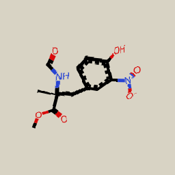 COC(=O)[C@@](C)(Cc1ccc(O)c([N+](=O)[O-])c1)NC=O